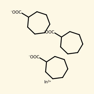 O=C([O-])C1CCCCCC1.O=C([O-])C1CCCCCC1.O=C([O-])C1CCCCCC1.[In+3]